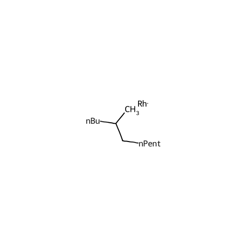 CCCCCCC(C)CCCC.[Rh]